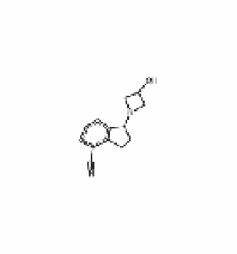 N#Cc1cccc2c1CCC2N1CC(O)C1